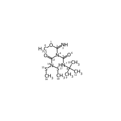 COC(=N)N(C(=O)NC(C)(C)C)C(=O)N(SC)SC